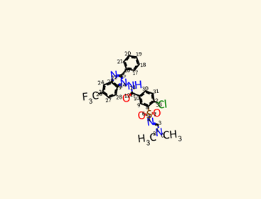 CN(C)C=NS(=O)(=O)c1cc(C(=O)Nn2c(-c3ccccc3)nc3cc(C(F)(F)F)ccc32)ccc1Cl